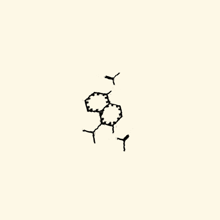 CC(=O)Oc1ccc2c(OC(C)=O)cccc2c1C(C)C